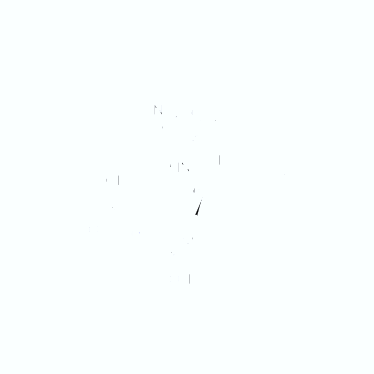 C[C@@H](N[C@@H]1C2CCN(CC2)C1(C)C)c1ccccc1.O=C(O)/C=C/C(=O)O